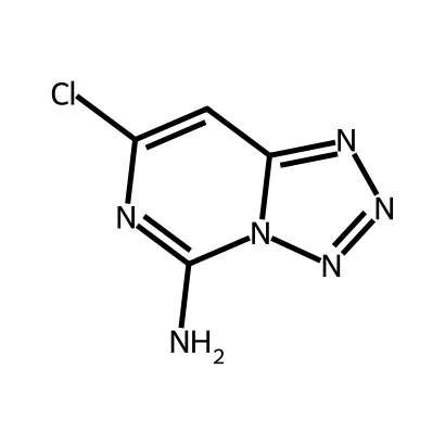 Nc1nc(Cl)cc2nnnn12